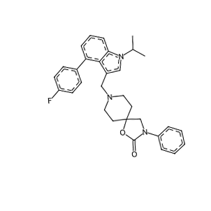 CC(C)n1cc(CN2CCC3(CC2)CN(c2ccccc2)C(=O)O3)c2c(-c3ccc(F)cc3)cccc21